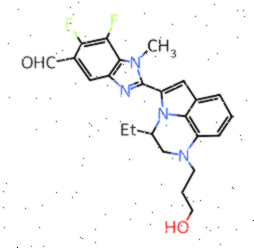 CCC1CN(CCCO)c2cccc3cc(-c4nc5cc(C=O)c(F)c(F)c5n4C)n1c23